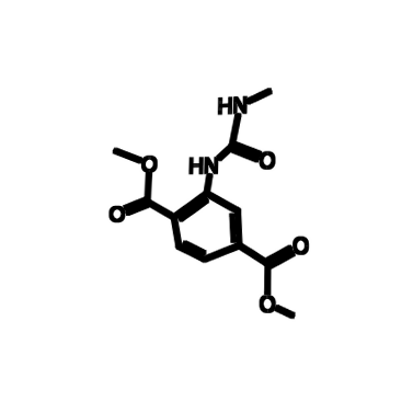 CNC(=O)Nc1cc(C(=O)OC)ccc1C(=O)OC